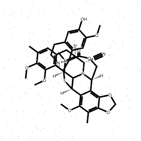 COc1cc2c(cc1O)CCN[C@]21CS[C@@H]2c3c(OC)c(C)c4c(c3[C@H](COC1=O)N1C2[C@H]2c3c(cc(C)c(OC)c3OC)C[C@@H]([C@@H]1C#N)N2C)OCO4